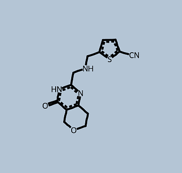 N#Cc1ccc(CNCc2nc3c(c(=O)[nH]2)COCC3)s1